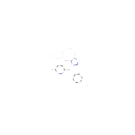 CCN1COCN(CCCO)C(=O)c2c1nc(Oc1cccc(OC(F)(F)F)c1)n2Cc1ccc(C)nc1